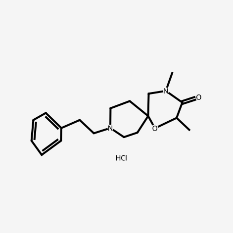 CC1OC2(CCN(CCc3ccccc3)CC2)CN(C)C1=O.Cl